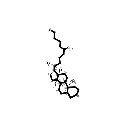 CC(CCCCBr)CCC[C@@H](C)[C@H]1CC[C@H]2[C@@H]3CCC4CCCC[C@]4(C)[C@H]3CC[C@]12C